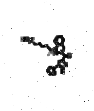 CC(C)N(Cc1ccccc1O[C@H](C)CCCCC(=O)O)C(=O)c1cc(-c2ccco2)[nH]n1